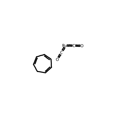 C1=CC=CCC=C1.O=[C]=[Ru]=[C]=O